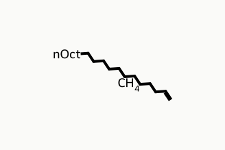 C.C=CCCCCCCCCCCCCCCCCCC